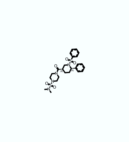 CN(C)S(=O)(=O)N1CCN(C(=O)[C@@H]2CC[C@H](c3ccccc3)N(S(=O)(=O)c3ccccc3)C2)CC1